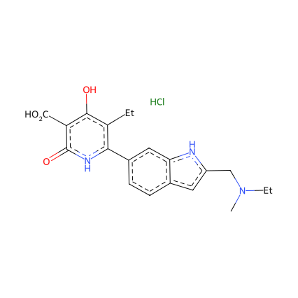 CCc1c(-c2ccc3cc(CN(C)CC)[nH]c3c2)[nH]c(=O)c(C(=O)O)c1O.Cl